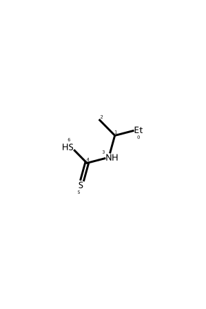 CCC(C)NC(=S)S